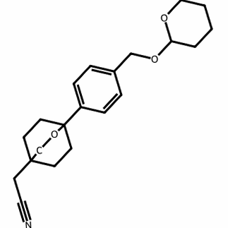 N#CCC12CCC(c3ccc(COC4CCCCO4)cc3)(CC1)OC2